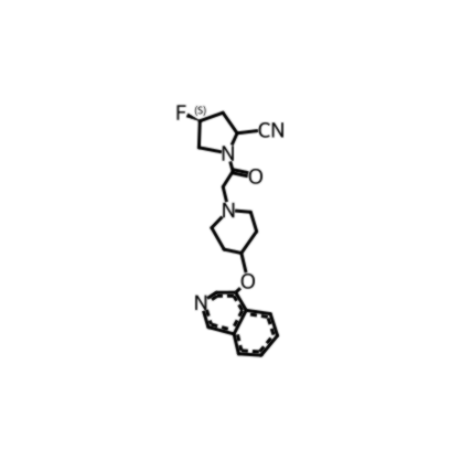 N#CC1C[C@H](F)CN1C(=O)CN1CCC(Oc2cncc3ccccc23)CC1